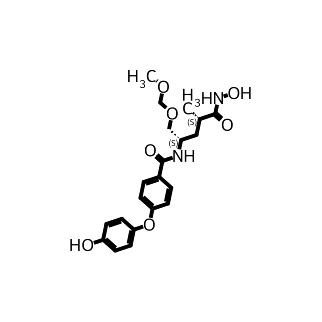 COCOC[C@H](C[C@H](C)C(=O)NO)NC(=O)c1ccc(Oc2ccc(O)cc2)cc1